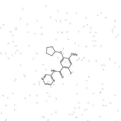 COc1cc(F)c(C(=O)Nc2cnccn2)cc1OC1CCCC1